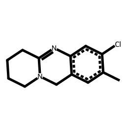 Cc1cc2c(cc1Cl)N=C1CCCCN1C2